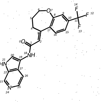 O=C(/C=C1\CCCOc2cc(C(F)(F)F)ccc21)Nc1c[nH]c2cnccc12